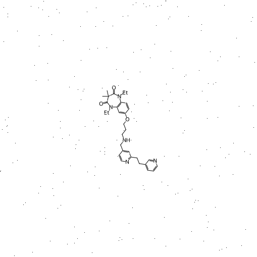 CCN1C(=O)C(C)(C)C(=O)N(CC)c2cc(OCCCNCc3ccnc(CCc4cccnc4)c3)ccc21